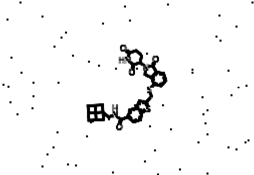 O=C1CCC(N2Cc3c(SCc4cc5cc(C(=O)NCC67CC8CC9CC(C6)C987)ccc5s4)cccc3C2=O)C(=O)N1